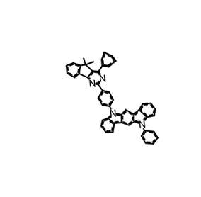 CC1(C)c2ccccc2-c2nc(-c3ccc(-n4c5ccccc5c5cc6c(cc54)c4ccccc4n6-c4ccccc4)cc3)nc(-c3ccccc3)c21